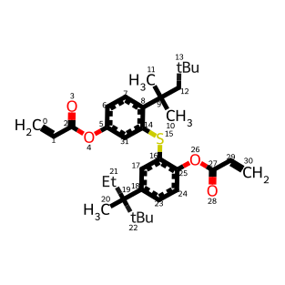 C=CC(=O)Oc1ccc(C(C)(C)CC(C)(C)C)c(Sc2cc(C(C)(CC)C(C)(C)C)ccc2OC(=O)C=C)c1